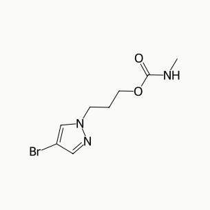 CNC(=O)OCCCn1cc(Br)cn1